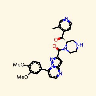 COc1ccc(-c2ccnc3cc(C(=O)N4CCNC[C@H]4C(=O)c4ccncc4C)nn23)cc1OC